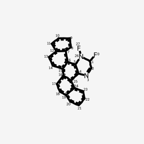 FC1C=Nc2c(c3c4ccccc4ccc3c3ccc4ccccc4c23)N1F